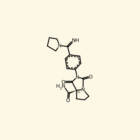 N=C(c1ccc(N2C(=O)N3CC[CH][C@]3(C(N)=O)C2=O)cc1)N1CCCC1